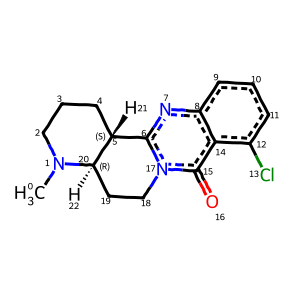 CN1CCC[C@@H]2c3nc4cccc(Cl)c4c(=O)n3CC[C@H]21